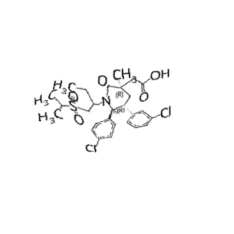 CCC(CS(=O)(=O)C(C)C)N1C(=O)[C@@](C)(CC(=O)O)C[C@H](c2cccc(Cl)c2)[C@H]1c1ccc(Cl)cc1